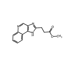 COC(=O)CCc1nc2cnc3ccccc3c2[nH]1